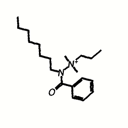 CCCCCCCCN(C(=O)c1ccccc1)[N+](C)(C)CCC